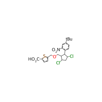 CC(C)(C)c1ccc(C2C(Cl)CC(Cl)C2COCc2ccc(C(=O)O)s2)c([N+](=O)[O-])c1